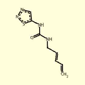 C=C/C=C/CNC(=O)Nc1cnns1